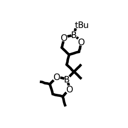 CC1CC(C)OB(C(C)(C)CC2COB(C(C)(C)C)OC2)O1